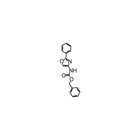 O=C(Nc1coc(-c2ccccc2)n1)OCc1ccccc1